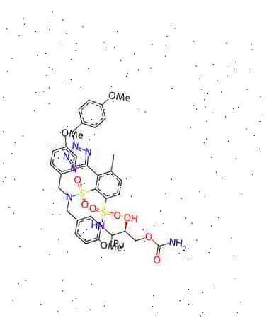 COc1ccc(CN(Cc2ccc(OC)cc2)S(=O)(=O)c2c(S(=O)(=O)NC([C@@H](O)COC(N)=O)C(C)(C)C)ccc(I)c2-c2nnn(Cc3ccc(OC)cc3)n2)cc1